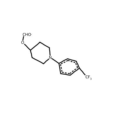 O=[C]OC1CCN(c2ccc(C(F)(F)F)cc2)CC1